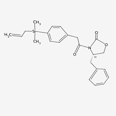 C=CC[Si](C)(C)c1ccc(CC(=O)N2C(=O)OC[C@@H]2Cc2ccccc2)cc1